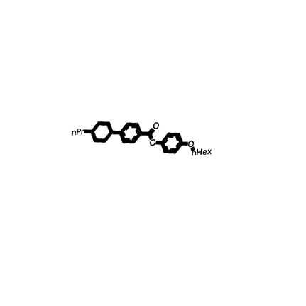 CCCCCCOc1ccc(OC(=O)c2ccc(C3CCC(CCC)CC3)cc2)cc1